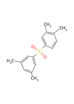 Cc1cc(C)cc(S(=O)(=O)c2ccc(C)c(C)c2)c1